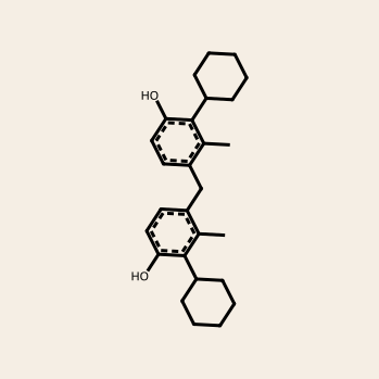 Cc1c(Cc2ccc(O)c(C3CCCCC3)c2C)ccc(O)c1C1CCCCC1